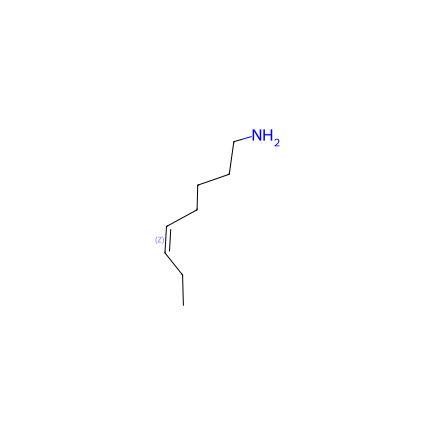 CC/C=C\CCCCN